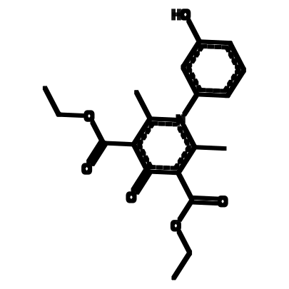 CCOC(=O)c1c(C)n(-c2cccc(O)c2)c(C)c(C(=O)OCC)c1=O